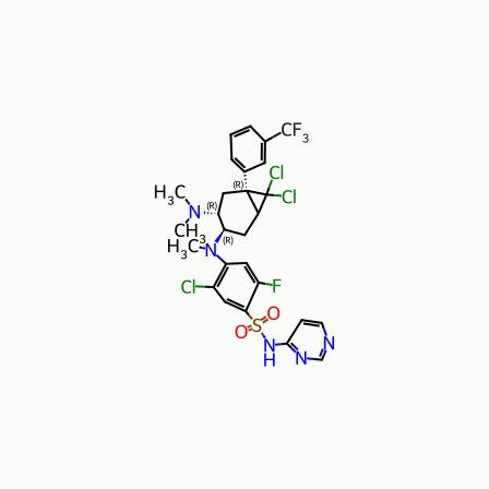 CN(C)[C@@H]1C[C@]2(c3cccc(C(F)(F)F)c3)C(C[C@H]1N(C)c1cc(F)c(S(=O)(=O)Nc3ccncn3)cc1Cl)C2(Cl)Cl